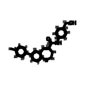 Cc1ccc(-c2ccc3c(c2)C=C(C(=O)Nc2ccc(CO)cc2)CCS3)cc1